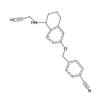 C#CCNC1CCCc2cc(OCc3ccc(C#N)cc3)ccc21